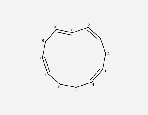 [C]1=C\C/C=C\CC/C=C\C/C=C/1